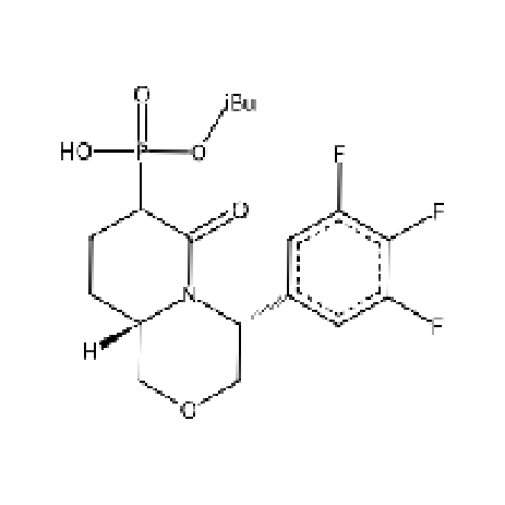 CCC(C)OP(=O)(O)C1CC[C@H]2COC[C@@H](c3cc(F)c(F)c(F)c3)N2C1=O